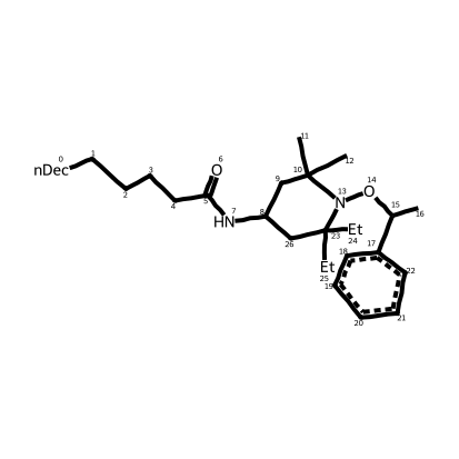 CCCCCCCCCCCCCCC(=O)NC1CC(C)(C)N(OC(C)c2ccccc2)C(CC)(CC)C1